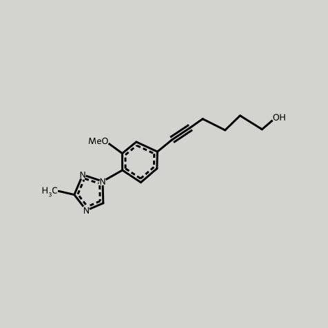 COc1cc(C#CCCCCO)ccc1-n1cnc(C)n1